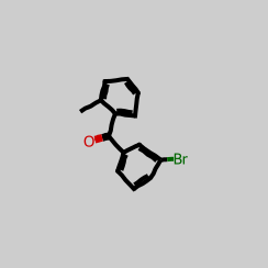 Cc1ccccc1C(=O)c1cccc(Br)c1